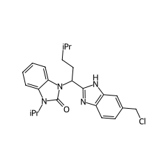 CC(C)CCC(c1nc2ccc(CCl)cc2[nH]1)n1c(=O)n(C(C)C)c2ccccc21